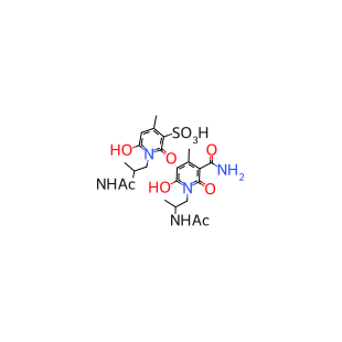 CC(=O)NC(C)Cn1c(O)cc(C)c(C(N)=O)c1=O.CC(=O)NC(C)Cn1c(O)cc(C)c(S(=O)(=O)O)c1=O